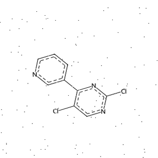 Clc1ncc(Cl)c(-c2cccnc2)n1